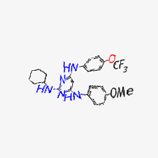 COc1ccc(Nc2cc(Nc3ccc(OC(F)(F)F)cc3)nc(NC3CCCCC3)n2)cc1